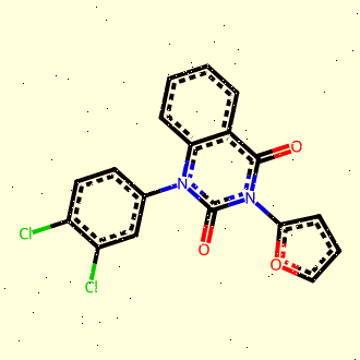 O=c1c2ccccc2n(-c2ccc(Cl)c(Cl)c2)c(=O)n1-c1ccco1